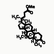 COC(=O)CC[C@@H](C)[C@H]1CC[C@H]2[C@@H]3[C@@H](C)C[C@H]4N(C)C(=O)CC[C@]4(C)[C@H]3CC[C@]12C